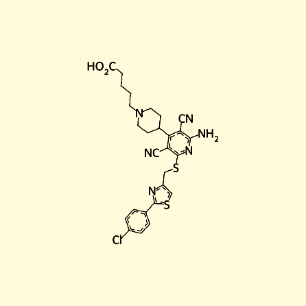 N#Cc1c(N)nc(SCc2csc(-c3ccc(Cl)cc3)n2)c(C#N)c1C1CCN(CCCCC(=O)O)CC1